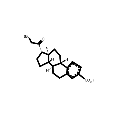 CC(C)(C)CC(=O)[C@H]1CC[C@H]2[C@@H]3CCc4cc(C(=O)O)ccc4[C@H]3CC[C@]12C